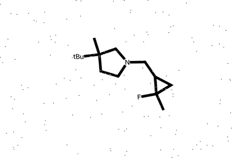 CC1(F)CC1CN1CCC(C)(C(C)(C)C)C1